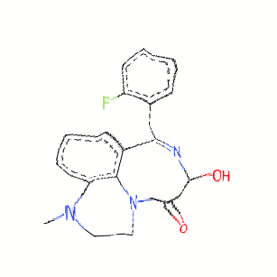 CN1CCN2C(=O)C(O)N=C(c3ccccc3F)c3cccc1c32